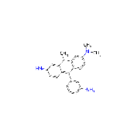 CC1C2=CC(=N)C=CC2=C(c2cccc(N)c2)c2ccc(N(C)C)cc21